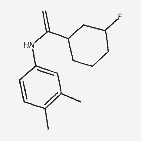 C=C(Nc1ccc(C)c(C)c1)C1CCCC(F)C1